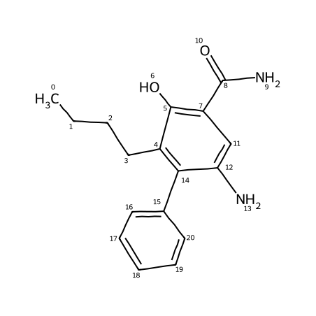 CCCCc1c(O)c(C(N)=O)cc(N)c1-c1ccccc1